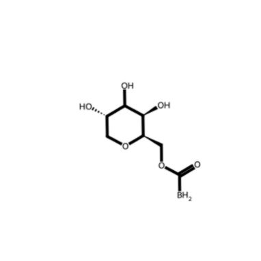 BC(=O)OC[C@H]1OC[C@H](O)C(O)[C@H]1O